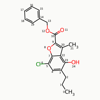 CCCc1cc(Cl)c2oc(C(=O)OCc3ccccc3)c(C)c2c1O